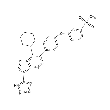 CS(=O)(=O)c1cccc(Oc2ccc(-c3cnc4c(-c5nnn[nH]5)cnn4c3C3CCCCC3)cc2)c1